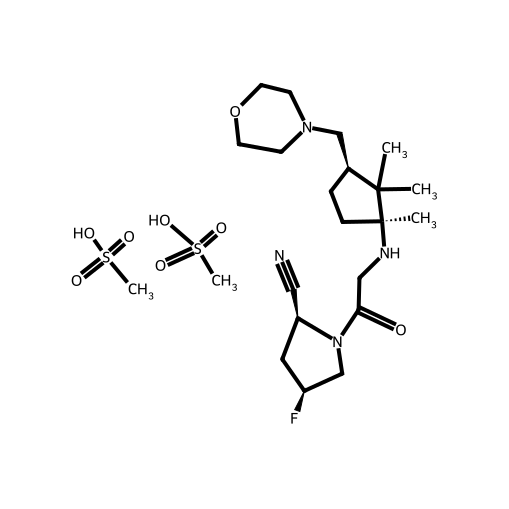 CC1(C)[C@H](CN2CCOCC2)CC[C@]1(C)NCC(=O)N1C[C@@H](F)C[C@H]1C#N.CS(=O)(=O)O.CS(=O)(=O)O